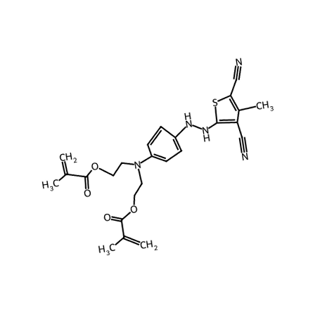 C=C(C)C(=O)OCCN(CCOC(=O)C(=C)C)c1ccc(NNc2sc(C#N)c(C)c2C#N)cc1